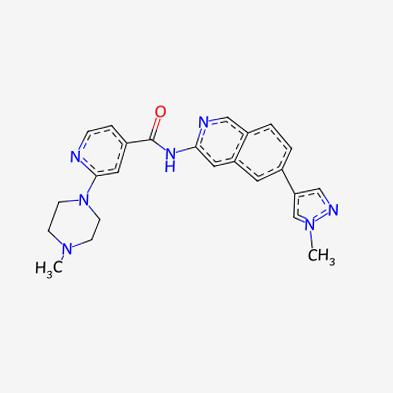 CN1CCN(c2cc(C(=O)Nc3cc4cc(-c5cnn(C)c5)ccc4cn3)ccn2)CC1